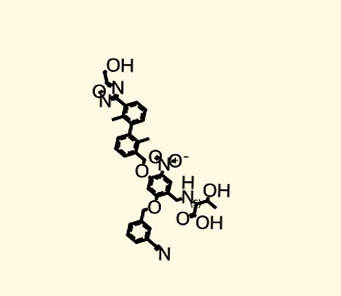 Cc1c(COc2cc(OCc3cccc(C#N)c3)c(CN[C@H](C(=O)O)C(C)O)cc2[N+](=O)[O-])cccc1-c1cccc(-c2noc(CO)n2)c1C